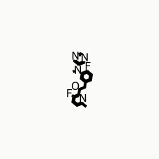 Cc1ccc(F)c(C(=O)Cc2ccc(F)c(N(C)c3cncnc3)c2)n1